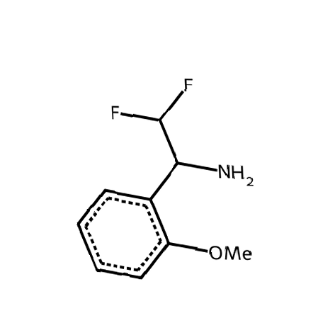 COc1ccccc1C(N)C(F)F